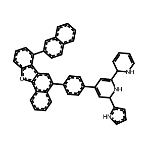 C1=CNC(C2=CC(c3ccc(-c4cc5c(oc6cccc(-c7ccc8ccccc8c7)c65)c5ccccc45)cc3)=CC(c3ccc[nH]3)N2)C=C1